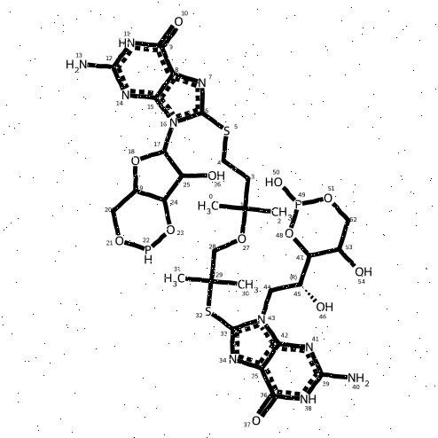 CC(C)(CCSc1nc2c(=O)[nH]c(N)nc2n1C1OC2COPOC2C1O)OCC(C)(C)Sc1nc2c(=O)[nH]c(N)nc2n1C[C@@H](O)C1OP(O)OCC1O